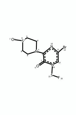 O=c1c(N2CC[S+]([O-])CC2)nc(Br)cn1SF